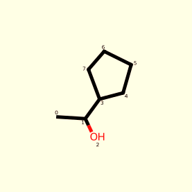 CC(O)C1CCCC1